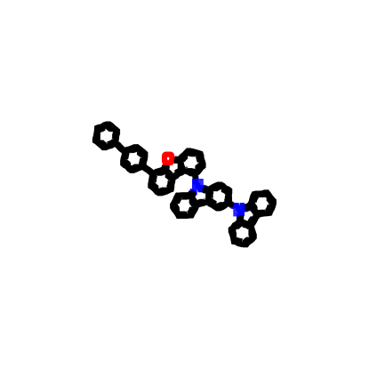 c1ccc(-c2ccc(-c3cccc4c3oc3cccc(-n5c6ccccc6c6cc(-n7c8ccccc8c8ccccc87)ccc65)c34)cc2)cc1